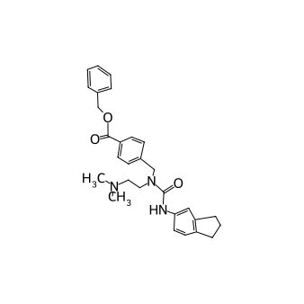 CN(C)CCN(Cc1ccc(C(=O)OCc2ccccc2)cc1)C(=O)Nc1ccc2c(c1)CCC2